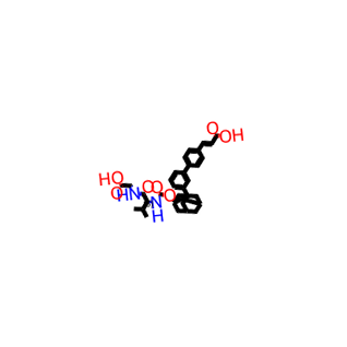 CC(C)[C@H](NC(=O)Oc1ccc(-c2ccc(C=CC(=O)O)cc2)cc1C12CC3CC(CC(C3)C1)C2)C(=O)NCC(=O)O